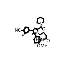 COc1ccc(C2(C)C(c3ccc(C#N)c(F)c3)C=C(C(=O)N3CCCCC3)N2CCCC(N)=O)cc1